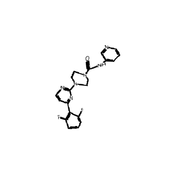 O=C(Nc1cccnc1)N1CCN(c2nccc(-c3c(F)cccc3F)n2)CC1